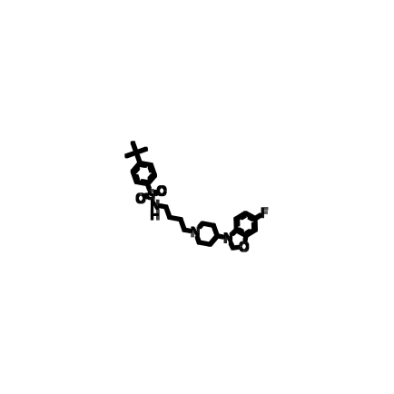 CC(C)(C)c1ccc(S(=O)(=O)NCCCCN2CCC(N3COc4cc(F)ccc43)CC2)cc1